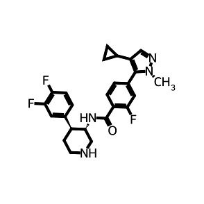 Cn1ncc(C2CC2)c1-c1ccc(C(=O)N[C@@H]2CNCC[C@H]2c2ccc(F)c(F)c2)c(F)c1